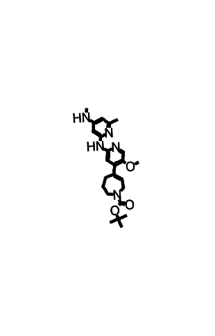 CNc1cc(C)nc(Nc2cc(C3=CCN(C(=O)OC(C)(C)C)CCC3)c(OC)cn2)c1